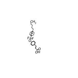 CCCCCC12CCC(C(F)(F)Oc3ccc(C=CC(=O)O)cc3)(CC1)CC2